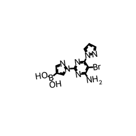 Nc1nc(-n2cc(B(O)O)cn2)nc(-n2cccn2)c1Br